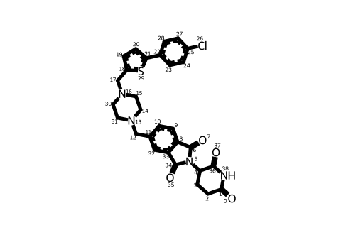 O=C1CCC(N2C(=O)c3ccc(CN4CCN(Cc5ccc(-c6ccc(Cl)cc6)s5)CC4)cc3C2=O)C(=O)N1